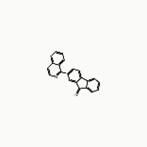 O=C1c2ccccc2-c2ccc(-c3nccc4ncccc34)cc21